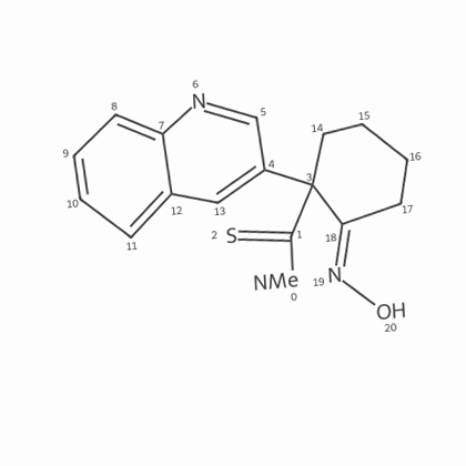 CNC(=S)C1(c2cnc3ccccc3c2)CCCCC1=NO